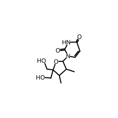 CC1C(n2ccc(=O)[nH]c2=O)OC(CO)(CO)C1C